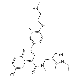 CCn1ncc(CN(C)C(=O)c2cc(-c3ccc(N(C)CCNC)c(C)n3)nc3ccc(Cl)cc23)c1C